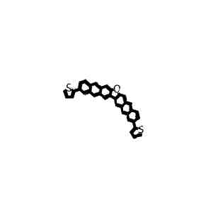 c1csc(-c2ccc3cc4cc5oc6cc7cc8ccc(-c9cccs9)cc8cc7cc6c5cc4cc3c2)c1